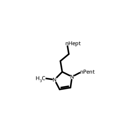 CCCCCCCCCC1N(C)C=CN1CCCCC